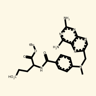 CN(Cc1cnc2nc(N)nc(N)c2n1)c1ccc(C(=O)NC(CCC(=O)O)C(=O)OC(C)(C)C)cc1